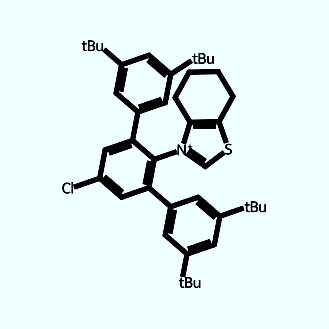 CC(C)(C)c1cc(-c2cc(Cl)cc(-c3cc(C(C)(C)C)cc(C(C)(C)C)c3)c2-[n+]2csc3c2CCCC3)cc(C(C)(C)C)c1